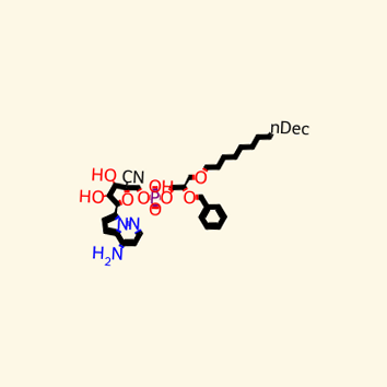 CCCCCCCCCCCCCCCCCCOC[C@H](COP(=O)(O)OC[C@@]1(C#N)O[C@@H](c2ccc3c(N)ccnn23)[C@H](O)[C@@H]1O)OCc1ccccc1